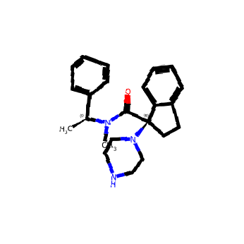 C[C@@H](c1ccccc1)N(C)C(=O)[C@@]1(N2CCNCC2)CCc2ccccc21